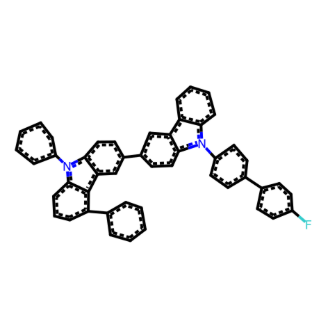 Fc1ccc(-c2ccc(-n3c4ccccc4c4cc(-c5ccc6c(c5)c5c(-c7ccccc7)cccc5n6-c5ccccc5)ccc43)cc2)cc1